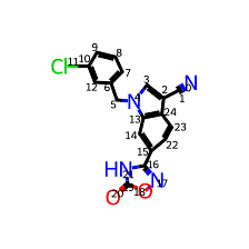 N#Cc1cn(Cc2cccc(Cl)c2)c2cc(-c3noc(=O)[nH]3)ccc12